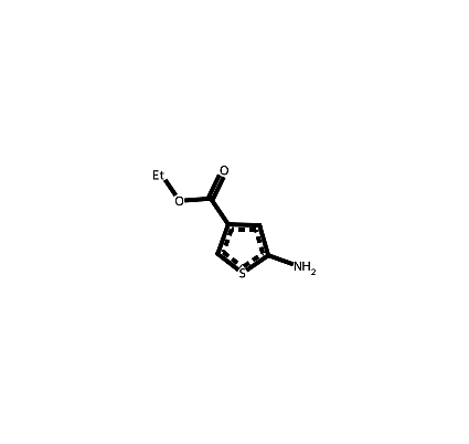 CCOC(=O)c1csc(N)c1